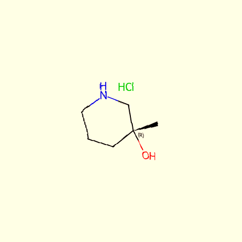 C[C@@]1(O)CCCNC1.Cl